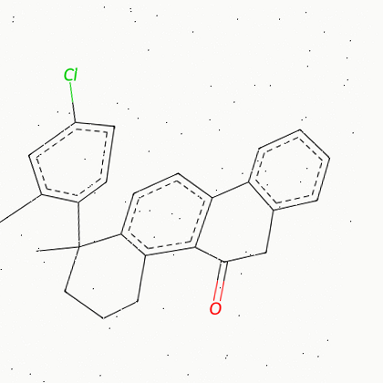 Cc1cc(Cl)ccc1C1(C)CCCc2c1ccc1c2C(=O)Cc2ccccc2-1